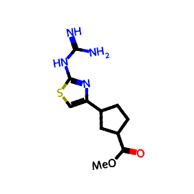 COC(=O)C1CCC(c2csc(NC(=N)N)n2)C1